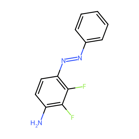 Nc1ccc(N=Nc2ccccc2)c(F)c1F